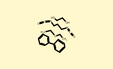 CCOCC.O=C=NCCCN=C=O.OCCO.c1ccc(-c2ccccc2)cc1